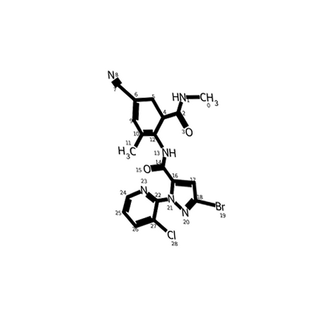 CNC(=O)C1CC(C#N)=CC(C)=C1NC(=O)c1cc(Br)nn1-c1ncccc1Cl